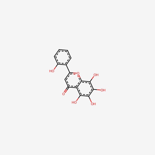 O=c1cc(-c2ccccc2O)oc2c(O)c(O)c(O)c(O)c12